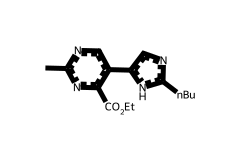 CCCCc1ncc(-c2cnc(C)nc2C(=O)OCC)[nH]1